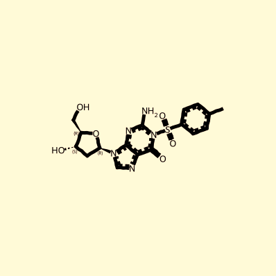 Cc1ccc(S(=O)(=O)n2c(N)nc3c(ncn3[C@H]3C[C@H](O)[C@@H](CO)O3)c2=O)cc1